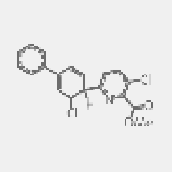 COC(=O)c1nc(C2(F)C=CC(c3ccccc3)=CC2Cl)ccc1Cl